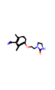 Cc1ccc(OCCN2CCNC2=O)c(C)c1C#N